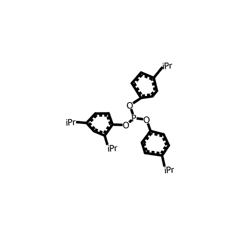 CC(C)c1ccc(OP(Oc2ccc(C(C)C)cc2)Oc2ccc(C(C)C)cc2C(C)C)cc1